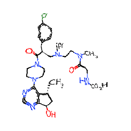 CC(C)N(CCN(C)C(=O)CNC(=O)O)C[C@@H](C(=O)N1CCN(c2ncnc3c2[C@H](C)C[C@H]3O)CC1)c1ccc(Cl)cc1